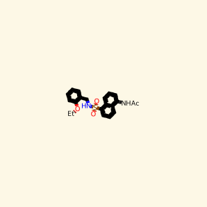 CCOc1ccccc1CNS(=O)(=O)c1cccc2c(NC(C)=O)cccc12